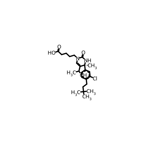 CC(C)C1=CN(CCCCC(=O)O)C(=O)N[C@@]1(C)c1ccc(CCC(C)(C)C)c(Cl)c1